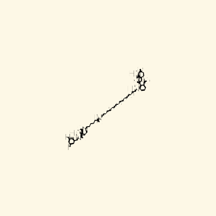 O=C(CCCCCN1CCC(O)(C(=O)NCc2cc(F)cc(F)c2)C1=O)NCCOCCOCCOCCOCCOCCNc1cccc2c1C(=O)N(C1CCC(=O)NC1=O)C2=O